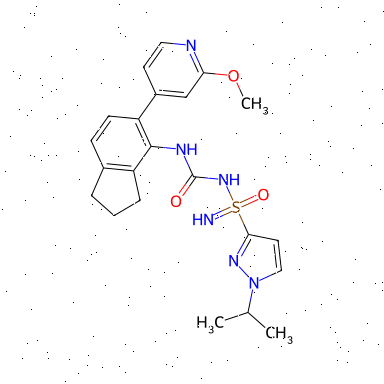 COc1cc(-c2ccc3c(c2NC(=O)NS(=N)(=O)c2ccn(C(C)C)n2)CCC3)ccn1